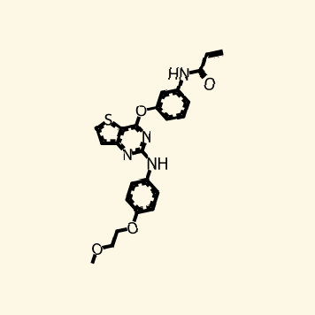 C=CC(=O)Nc1cccc(Oc2nc(Nc3ccc(OCCOC)cc3)nc3ccsc23)c1